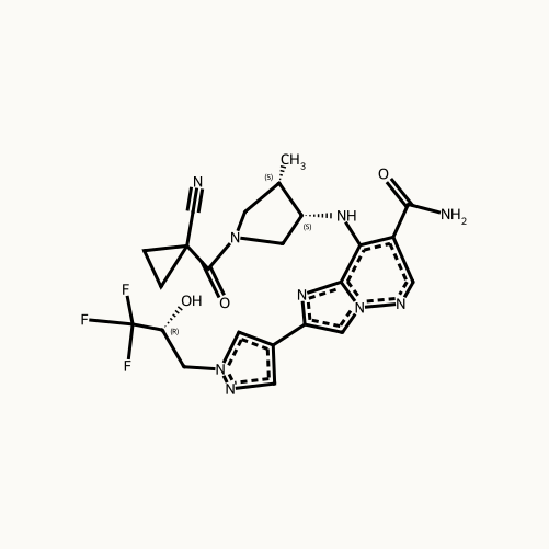 C[C@H]1CN(C(=O)C2(C#N)CC2)C[C@H]1Nc1c(C(N)=O)cnn2cc(-c3cnn(C[C@@H](O)C(F)(F)F)c3)nc12